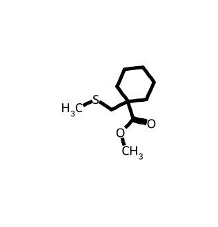 COC(=O)C1(CSC)CCCCC1